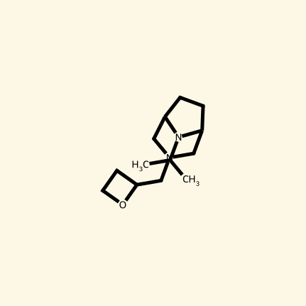 CC(C)N1C2CCC1CN(CC1CCO1)C2